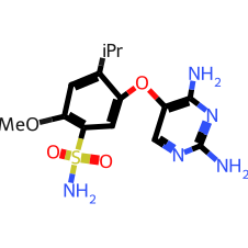 COc1cc(C(C)C)c(Oc2cnc(N)nc2N)cc1S(N)(=O)=O